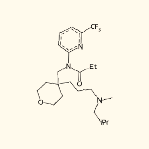 CCC(=O)N(CC1(CCCN(C)CC(C)C)CCOCC1)c1cccc(C(F)(F)F)n1